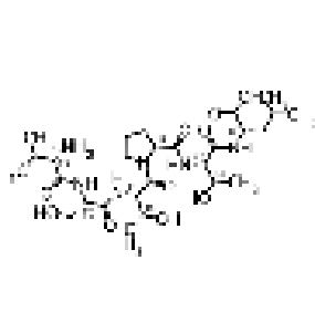 CC(C)C[C@H](NC(=O)[C@@H](NC(=O)[C@@H]1CCCN1C(=O)[C@@H](NC(=O)[C@H](CO)NC(=O)[C@@H](N)C(C)C)[C@@H](C)O)[C@@H](C)O)C(=O)O